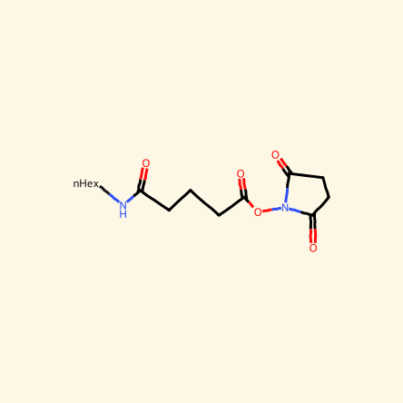 CCCCCCNC(=O)CCCC(=O)ON1C(=O)CCC1=O